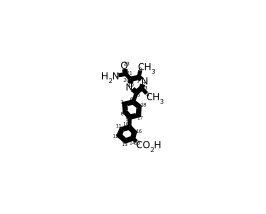 Cc1nc(C)c(-c2ccc(-c3cccc(C(=O)O)c3)cc2)nc1C(N)=O